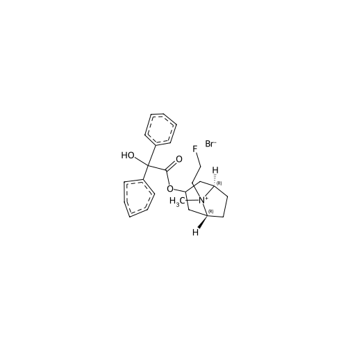 C[N+]1(CCF)[C@@H]2CC[C@@H]1CC(OC(=O)C(O)(c1ccccc1)c1ccccc1)C2.[Br-]